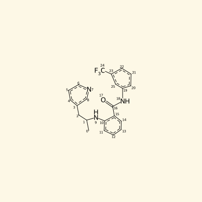 CC(Cc1cccnc1)Nc1ccccc1C(=O)Nc1cccc(C(F)(F)F)c1